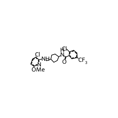 COc1ccc(Cl)c(NCC2CCC(NC(=O)c3cc(C(F)(F)F)ccc3Cl)CC2)n1